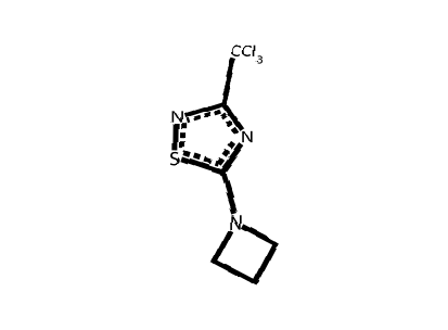 ClC(Cl)(Cl)c1nsc(N2CCC2)n1